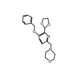 c1ccc(COc2ccc(CN3CCOCC3)nc2C2OCCO2)cc1